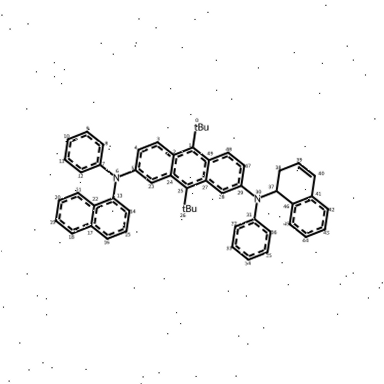 CC(C)(C)c1c2ccc(N(c3ccccc3)c3cccc4ccccc34)cc2c(C(C)(C)C)c2cc(N(c3ccccc3)C3CC=Cc4ccccc43)ccc12